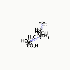 CCC(/C=C/C=C/[C@H](O)C[C@@H](O)[C@@H](O)[C@H](O)[C@H](C)/C(Cl)=C/C=C/C=C(C)/C=C/C=C/C(=O)O[C@@H]1C[C@@H](C(=O)O)CC[C@@H]1O)CC